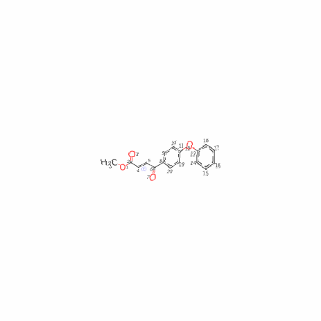 COC(=O)/C=C/C(=O)c1ccc(Oc2ccccc2)cc1